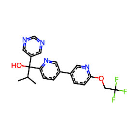 CC(C)C(O)(c1cncnc1)c1ccc(-c2ccc(OCC(F)(F)F)nc2)cn1